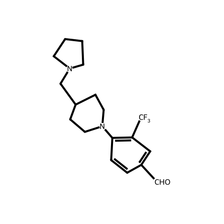 O=Cc1ccc(N2CCC(CN3CCCC3)CC2)c(C(F)(F)F)c1